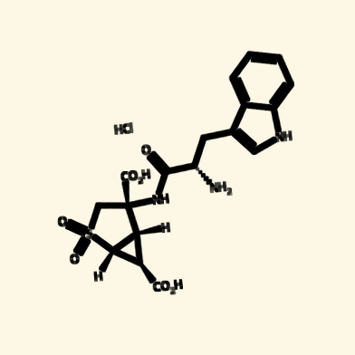 Cl.N[C@@H](Cc1c[nH]c2ccccc12)C(=O)N[C@@]1(C(=O)O)CS(=O)(=O)[C@H]2[C@H](C(=O)O)[C@H]21